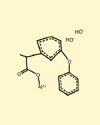 CC(C(=O)[O][Al+2])c1cccc(Oc2ccccc2)c1.[OH-].[OH-]